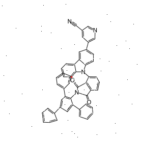 N#Cc1cncc(-c2ccc3c(c2)c2ccccc2n3-c2cccc3c2C(=O)N(c2c(-c4ccccc4)cc(-c4ccccc4)cc2-c2ccccc2)C3=O)c1